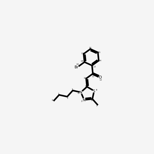 CCCCN1N=C(C)SC1=CC(=O)c1ccccc1Br